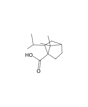 CC(C)C1CC2CCC1(C(=O)O)C2(C)C